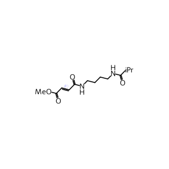 COC(=O)/C=C/C(=O)NCCCCNC(=O)C(C)C